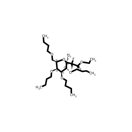 CCCCOC[C@H]1O[C@@](C)(C(F)(F)C(=O)OCC)[C@H](OCCCC)[C@@H](OCCCC)[C@H]1OCCCC